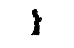 CCNS(=O)(=O)c1cccc(CN2C(=O)c3ccc(Oc4ncccn4)cc3C2=O)c1F